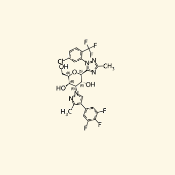 Cc1nc([C@@H]2O[C@H](CO)[C@H](O)[C@H](n3cc(-c4cc(F)c(F)c(F)c4)c(C)n3)[C@H]2O)n(-c2cc(Cl)ccc2C(F)(F)F)n1